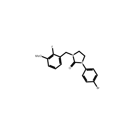 COc1cccc(CN2CCN(c3ccc(Br)cc3)C2=O)c1F